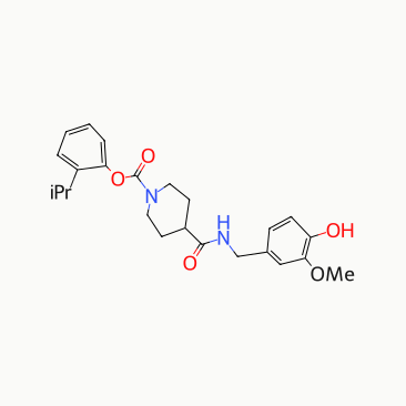 COc1cc(CNC(=O)C2CCN(C(=O)Oc3ccccc3C(C)C)CC2)ccc1O